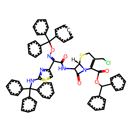 O=C(OC(c1ccccc1)c1ccccc1)C1=C(CCl)CS[C@H]2C(NC(=O)/C(=N\OC(c3ccccc3)(c3ccccc3)c3ccccc3)c3csc(NC(c4ccccc4)(c4ccccc4)c4ccccc4)n3)C(=O)N12